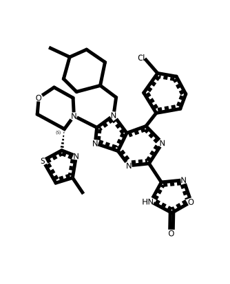 Cc1csc([C@@H]2COCCN2c2nc3nc(-c4noc(=O)[nH]4)nc(-c4cccc(Cl)c4)c3n2CC2CCC(C)CC2)n1